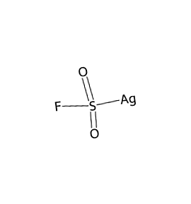 O=[S](=O)(F)[Ag]